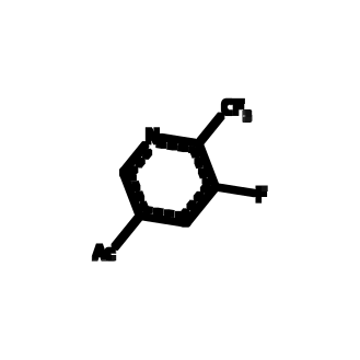 CC(=O)c1cnc(C(F)(F)F)c(F)c1